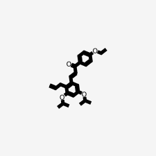 C=CCc1c(C=CC(=O)c2ccc(OCC)cc2)cc(OC(C)C)cc1OC(C)C